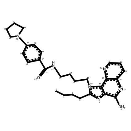 CCCCc1nc2c(N)nc3cccnc3c2n1CCCCNC(=O)c1ccc(N2CCCC2)cc1